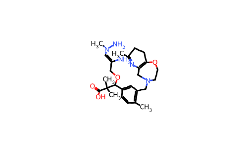 CC1=NC2=C(CC1)OCCN(Cc1cc(C(OC/C(N)=C/N(C)N)C(C)(C)C(=O)O)ccc1C)C2